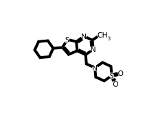 Cc1nc(CN2CCS(=O)(=O)CC2)c2cc(C3CCCCC3)sc2n1